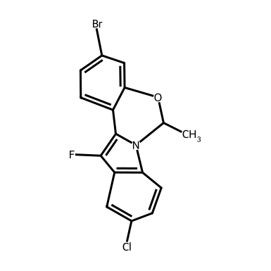 CC1Oc2cc(Br)ccc2-c2c(F)c3cc(Cl)ccc3n21